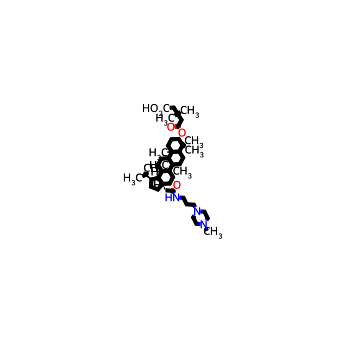 C=C(C)[C@@H]1CC[C@]2(CC(=O)NCCCN3CCN(C)CC3)CC[C@]3(C)[C@H](CCC4[C@@]5(C)CC[C@H](OC(=O)CC(C)(C)CC(=O)O)C(C)(C)C5CC[C@]43C)[C@@H]12